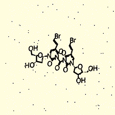 O=C(n1c(=O)c(/C=C/Br)cn([C@H]2C[C@H](O)[C@@H](CO)O2)c1=O)n1c(=O)c(/C=C/Br)cn([C@H]2C[C@H](O)[C@@H](CO)O2)c1=O